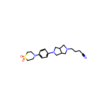 N#CCCCN1CC2CN(c3ccc(N4CCS(=O)(=O)CC4)cc3)CC2C1